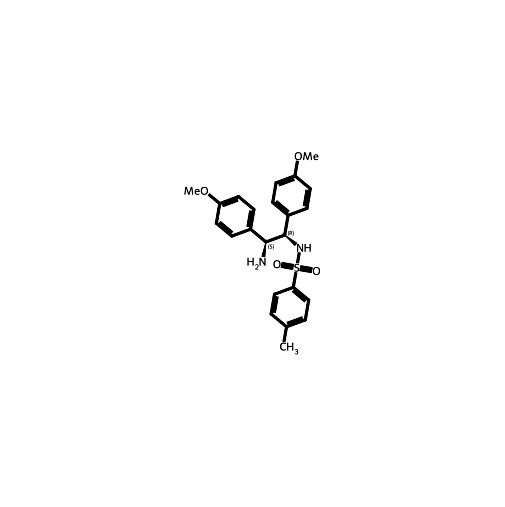 COc1ccc([C@@H](NS(=O)(=O)c2ccc(C)cc2)[C@@H](N)c2ccc(OC)cc2)cc1